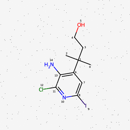 CC(C)(CCO)c1cc(I)nc(Cl)c1N